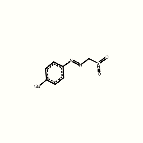 CC(C)(C)c1ccc(N=NC[SH](=O)=O)cc1